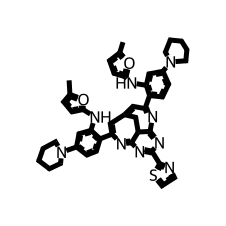 Cc1ccc(Nc2cc(N3CCCCC3)ccc2C2=CC3=CC(c4ccc(N5CCCCC5)cc4Nc4ccc(C)o4)=NC4=NC(c5nccs5)=NC(=N2)C4C3)o1